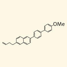 C=CCCc1ccc2cc(-c3ccc(-c4ccc(OC)cc4)cc3)ccc2c1